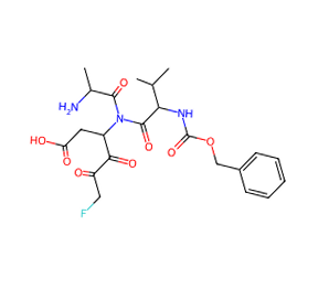 CC(N)C(=O)N(C(=O)C(NC(=O)OCc1ccccc1)C(C)C)C(CC(=O)O)C(=O)C(=O)CF